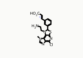 Cn1cnc2c(Cl)nc3c(c21)N(CCN)C(c1cccc(/C=C/C(=O)O)c1)S3